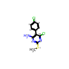 CSc1nc(N)c(-c2ccc(Cl)cc2)c(Cl)n1